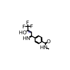 CNC(=O)c1ccc(C(=N)/C=C(\O)C(F)(F)F)cc1